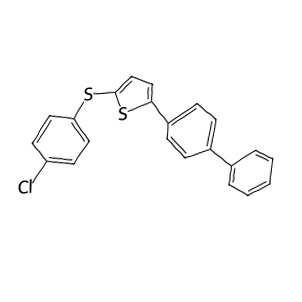 Clc1ccc(Sc2ccc(-c3ccc(-c4ccccc4)cc3)s2)cc1